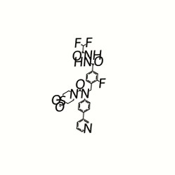 O=C(NNC(=O)C(F)F)c1ccc(CN(C(=O)N2CCS(=O)(=O)CC2)c2ccc(-c3cccnc3)cc2)c(F)c1